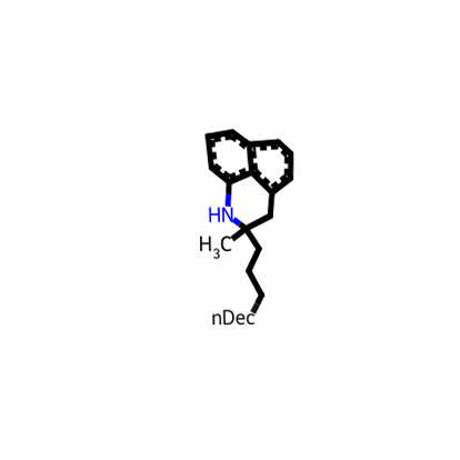 CCCCCCCCCCCCCC1(C)Cc2cccc3cccc(c23)N1